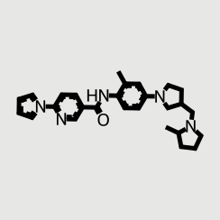 Cc1cc(N2CCC(CN3CCCC3C)C2)ccc1NC(=O)c1ccc(-n2cccc2)nc1